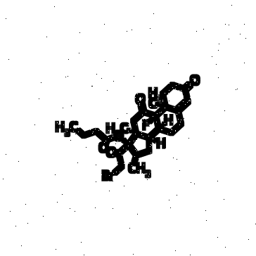 CCCC(=O)O[C@]1(C(=O)CBr)C(C)C[C@H]2[C@@H]3CCC4=CC(=O)CC[C@]4(C)[C@@]3(F)C(=O)C[C@@]21C